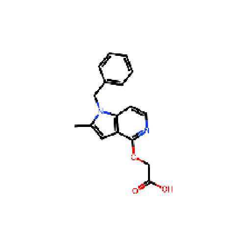 Cc1cc2c(OCC(=O)O)nccc2n1Cc1ccccc1